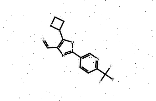 O=Cc1nc(-c2ccc(C(F)(F)F)nc2)oc1C1CCC1